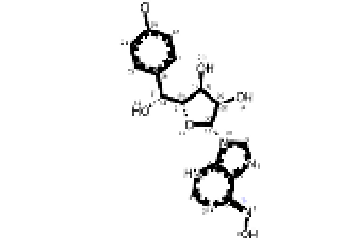 O/N=c1\nc[nH]c2c1ncn2[C@@H]1O[C@H]([C@H](O)c2ccc(Cl)cc2)[C@@H](O)[C@H]1O